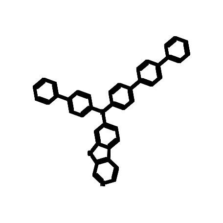 c1ccc(-c2ccc(-c3ccc(N(c4ccc(-c5ccccc5)cc4)c4ccc5c(c4)oc4cnccc45)cc3)cc2)cc1